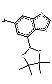 CC1(C)OB(c2cc(Cl)cc3[nH]cnc23)OC1(C)C